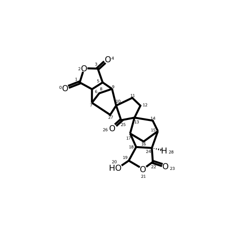 O=C1OC(=O)C2C1C1CC2C2(CCC3(CC4CC3C3C(O)OC(=O)[C@H]43)C2=O)C1